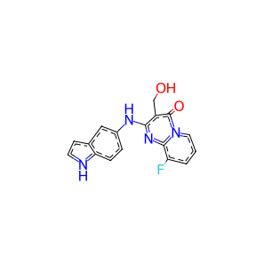 O=c1c(CO)c(Nc2ccc3[nH]ccc3c2)nc2c(F)cccn12